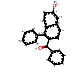 O=C(c1ccccc1)c1ccc2cc(O)ccc2c1-c1ccccc1